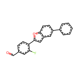 O=Cc1ccc(-c2cc3cc(-c4ccccc4)ccc3o2)c(F)c1